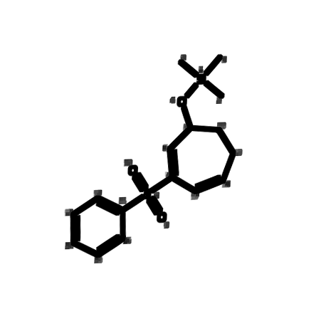 C[Si](C)(C)OC1C=C(S(=O)(=O)c2ccccc2)C=CCC1